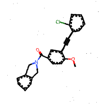 COc1ccc(C(=O)N2Cc3ccccc3C2)cc1C#Cc1ccccc1Cl